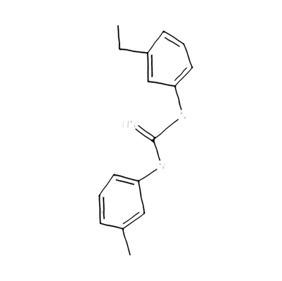 CCc1cccc(NC(=N)Nc2cccc(C)c2)c1